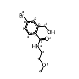 COCCNC(=O)c1ccc(Br)cc1CO